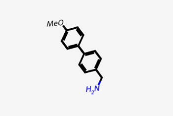 COc1ccc(-c2ccc(CN)cc2)cc1